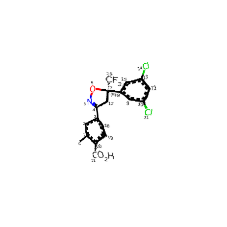 Cc1cc(C2=NO[C@](c3cc(Cl)cc(Cl)c3)(C(F)(F)F)C2)ccc1C(=O)O